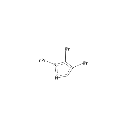 CCCn1ncc(C(C)C)c1C(C)C